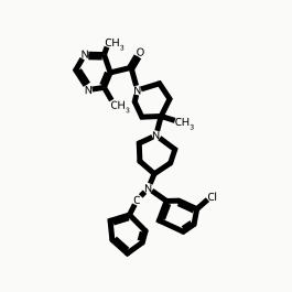 Cc1ncnc(C)c1C(=O)N1CCC(C)(N2CCC(N(Cc3ccccc3)c3cccc(Cl)c3)CC2)CC1